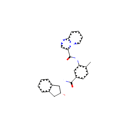 Cc1ccc(C(=O)N[C@H]2c3ccccc3C[C@@H]2O)cc1NC(=O)c1cnc2ccccn12